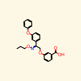 CCCON=C(COc1cccc(C(=O)O)c1)c1cccc(Oc2ccccc2)c1